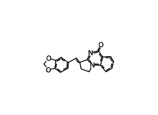 O=c1nc2n(c3ccccc13)CC/C2=C\c1ccc2c(c1)OCO2